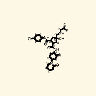 O=C(Nc1ccc(Cl)cc1)C1CC(O)(CNCC(F)F)CC1C(=O)Nc1ccc(-n2ccccc2=O)cc1F